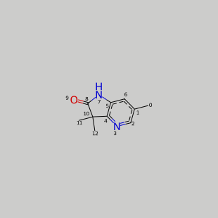 Cc1cnc2c(c1)NC(=O)C2(C)C